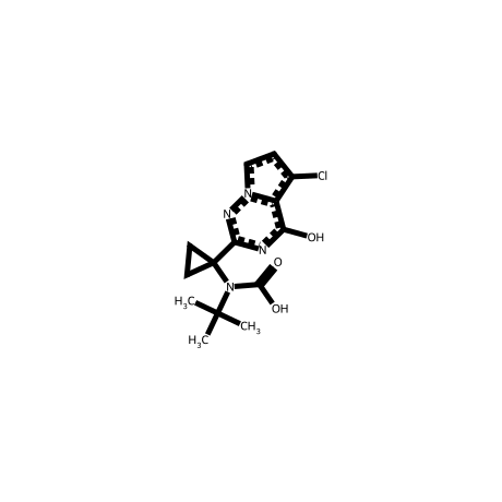 CC(C)(C)N(C(=O)O)C1(c2nc(O)c3c(Cl)ccn3n2)CC1